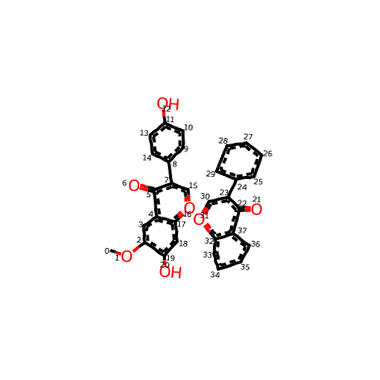 COc1cc2c(=O)c(-c3ccc(O)cc3)coc2cc1O.O=c1c(-c2ccccc2)coc2ccccc12